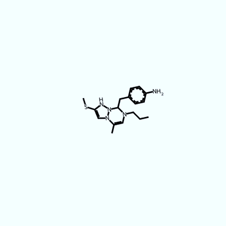 CCCN1C=C(C)N2C=C(SC)NN2C1Cc1ccc(N)cc1